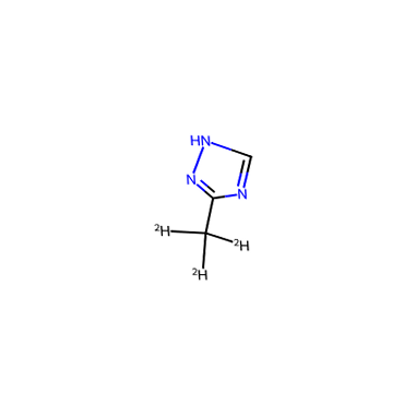 [2H]C([2H])([2H])c1nc[nH]n1